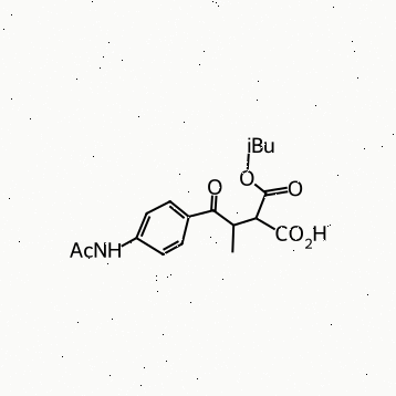 CCC(C)OC(=O)C(C(=O)O)C(C)C(=O)c1ccc(NC(C)=O)cc1